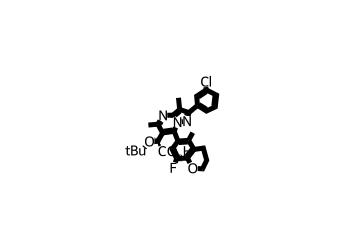 Cc1nc2c(C)c(-c3cccc(Cl)c3)nn2c(-c2cc(F)c3c(c2C)CCCO3)c1[C@H](OC(C)(C)C)C(=O)O